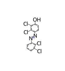 Oc1ccc(/N=N/c2cccc(Cl)c2Cl)c(Cl)c1Cl